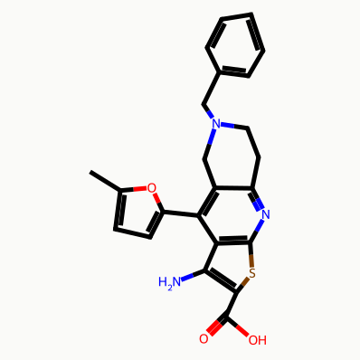 Cc1ccc(-c2c3c(nc4sc(C(=O)O)c(N)c24)CCN(Cc2ccccc2)C3)o1